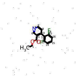 CCOC(=O)c1cnccc1-c1c(F)cccc1F